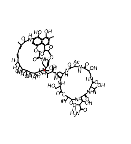 CC(=O)C1NC(=O)C(O)CNC(=O)C(C(C)O)NC(=O)C(C(O)C(O)C(N)=O)NC(=O)C(C(C)C)CC(=O)C(CO)NC(=O)C(CNC(=O)C(C)NCCNC(=O)COc2cc3c(O)c4c(O)c(C)c5c(c24)C(=O)[C@@](C)(O/C=C/[C@H](CO)[C@@H](C)[C@@H](C)[C@H](C)[C@H](O)[C@H](C)[C@@H](O)[C@@H](C)/C=C/C=C(/C)C(=O)N3)O5)NC1=O